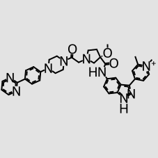 CO[C@@]1(C(=O)Nc2ccc3[nH]nc(-c4cc[n+](C)c(C)c4)c3c2)CCN(CC(=O)N2CCN(c3ccc(-c4ncccn4)cc3)CC2)C1